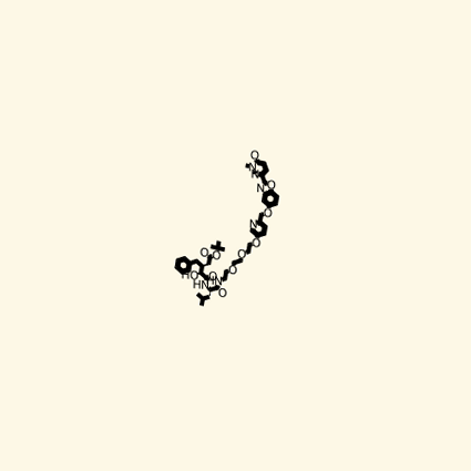 CC(C)C[C@H](NC(=O)[C@@H](O)[C@H](CC(=O)OC(C)(C)C)Cc1ccccc1)C(=O)NCCOCCOCCOc1ccc(COc2ccc3oc(-c4ccc(=O)n(C)n4)nc3c2)nc1